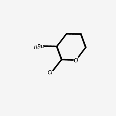 CCCCC1CCCOC1Cl